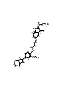 COc1cc(-c2nc3c(o2)CCCC3)ccc1OCCCOc1ccc2[nH]c(C(C)C(=O)O)c(C)c2c1